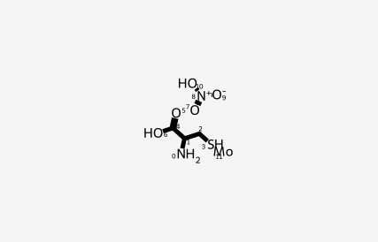 NC(CS)C(=O)O.O=[N+]([O-])O.[Mo]